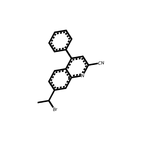 CC(Br)c1ccc2c(-c3ccccc3)cc(C#N)nc2c1